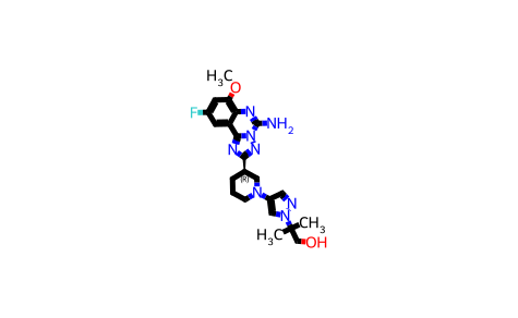 COc1cc(F)cc2c1nc(N)n1nc([C@@H]3CCCN(c4cnn(C(C)(C)CO)c4)C3)nc21